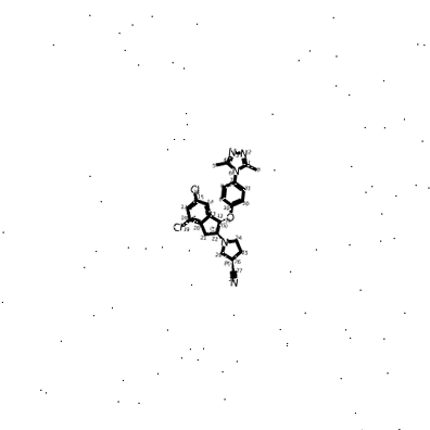 Cc1nnc(C)n1-c1ccc(O[C@H]2c3cc(Cl)cc(Cl)c3C[C@@H]2N2CC[C@@H](C#N)C2)cc1